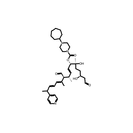 C/C(=C\C=C\C(C)c1ccncc1)[C@@H](C=O)[C@@H](C)/C=C/[C@H](OC(=O)N1CCN(C2CCCCCC2)CC1)[C@@](C)(O)CC[C@H](O)CC=O